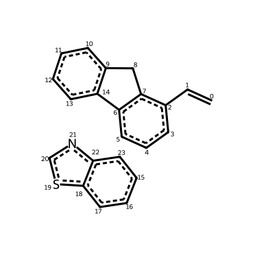 C=Cc1cccc2c1Cc1ccccc1-2.c1ccc2scnc2c1